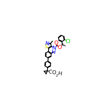 Cc1cc(-c2ccc(C3(C(=O)O)CC3)cc2)ccc1-c1snc(C)c1NC(=O)O[C@H](C)c1ccccc1Cl